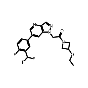 CCOC1CN(C(=O)Cn2ncc3ncc(-c4ccc(F)c(C(F)F)c4)cc32)C1